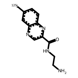 NCCNC(=O)c1cnc2cc([125I])ccc2n1